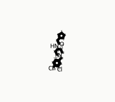 O=C(CC1CCCC1)NC1CCN(Cc2ccc(Cl)c(Cl)c2)CC1